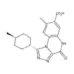 Cc1cc2c(cc1C(=O)O)[nH]c(=O)c1nnc([C@H]3CC[C@H](C)CC3)n12